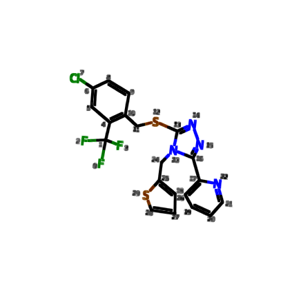 FC(F)(F)c1cc(Cl)ccc1CSc1nnc(-c2ccccn2)n1Cc1cccs1